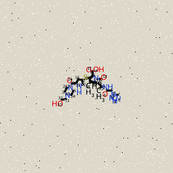 C[C@@H](NC(=O)Cn1cnnn1)[C@H]1C(=O)N2C(C(=O)O)=C(SC3CNC(C(=O)N4CCN(CCO)CC4)C3)[C@H](C)[C@H]12